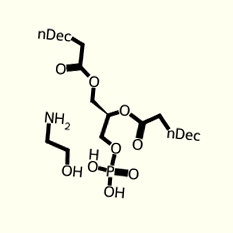 CCCCCCCCCCCC(=O)OC[C@H](COP(=O)(O)O)OC(=O)CCCCCCCCCCC.NCCO